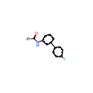 CC(C)C(=O)Nc1cccc(-c2ccc(F)cc2)c1